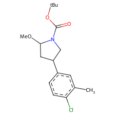 COC1CC(c2ccc(Cl)c(C)c2)CN1C(=O)OC(C)(C)C